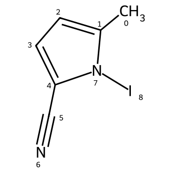 Cc1ccc(C#N)n1I